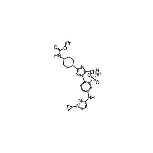 Cc1nc(C2CCC(NC(=O)OC(C)C)CC2)sc1-c1ccc(Nc2ccn(C3CC3)n2)cc1S(N)(=O)=O